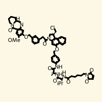 COc1cc2c(cc1OCc1cccc(CC(=O)N3C[C@@H](CCl)c4c3cc(OCc3ccc(NC(=O)[C@H](C)NC(=O)[C@@H](NC(=O)CCCCCN5C(=O)C=CC5=O)C(C)C)cc3)c3ccccc43)c1)N=C[C@@H]1CCCCN1C2=O